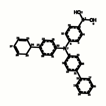 OB(O)c1ccc(N(c2ccc(-c3ccccc3)cc2)c2ccc(C3C=CC=CC3)cc2)cc1